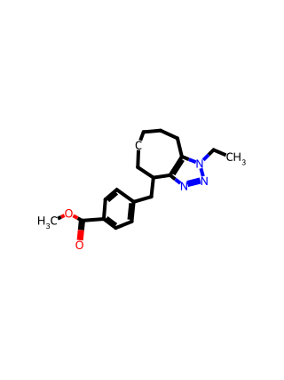 CCn1nnc2c1CCCCCC2Cc1ccc(C(=O)OC)cc1